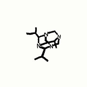 CC(C)C1N2CN3CN(C2)C(C(C)C)N1C3C